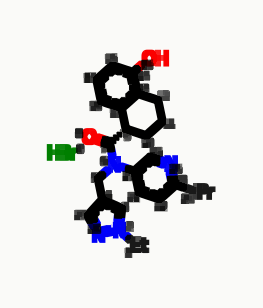 Br.CCn1cc(CN(C(=O)[C@H]2CCCc3c(O)cccc32)c2ccc(C(C)C)nc2)cn1